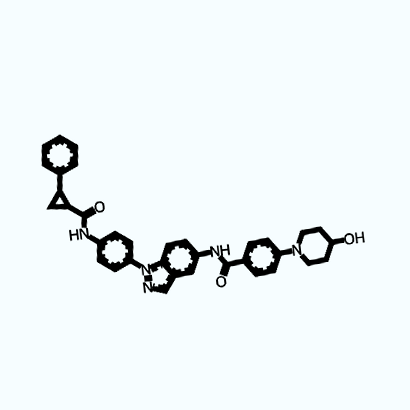 O=C(Nc1ccc2c(cnn2-c2ccc(NC(=O)C3CC3c3ccccc3)cc2)c1)c1ccc(N2CCC(O)CC2)cc1